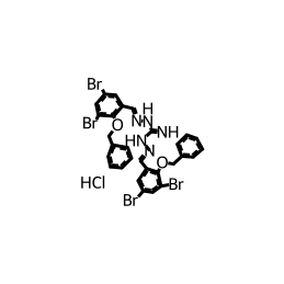 Cl.N=C(NN=Cc1cc(Br)cc(Br)c1OCc1ccccc1)NN=Cc1cc(Br)cc(Br)c1OCc1ccccc1